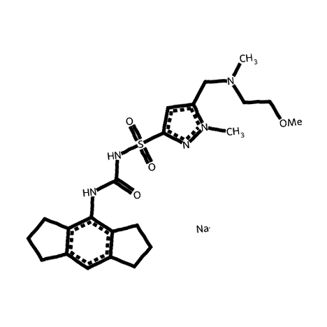 COCCN(C)Cc1cc(S(=O)(=O)NC(=O)Nc2c3c(cc4c2CCC4)CCC3)nn1C.[Na]